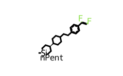 CCCCC[Si@]1(C)CC[C@@H](C2CCC(CCc3ccc(C(F)=CF)cc3)CC2)CC1